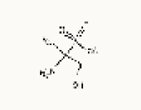 CCC(N)(CO)S(=O)(=O)O